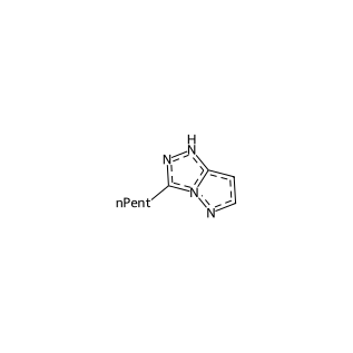 CCCCCc1n[nH]c2ccnn12